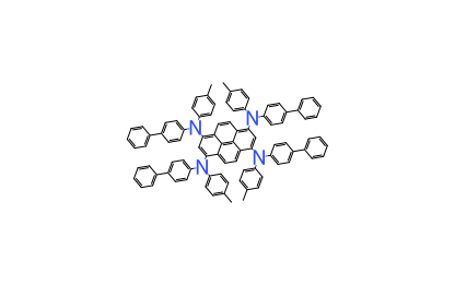 Cc1ccc(N(c2ccc(-c3ccccc3)cc2)c2cc(N(c3ccc(C)cc3)c3ccc(-c4ccccc4)cc3)c3ccc4c(N(c5ccc(C)cc5)c5ccc(-c6ccccc6)cc5)cc(N(c5ccc(C)cc5)c5ccc(-c6ccccc6)cc5)c5ccc2c3c54)cc1